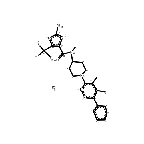 Cc1c(-c2ccccc2)nnc(N2CCC(N(C)C(=O)c3sc(N)nc3C(F)(F)F)CC2)c1C.Cl